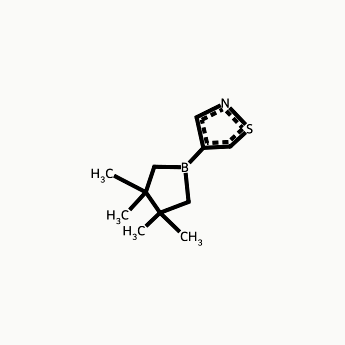 CC1(C)CB(c2cnsc2)CC1(C)C